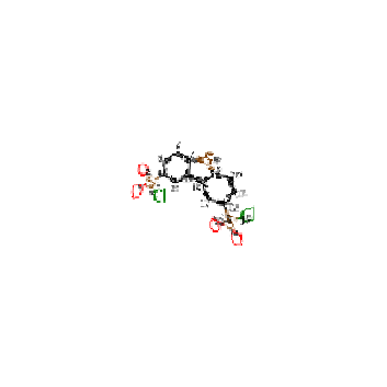 O=S(=O)(Cl)c1ccc2sc3ccc(S(=O)(=O)Cl)cc3c2c1